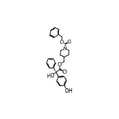 O=C(OCc1ccccc1)N1CCC(COC(=O)C(O)(c2ccccc2)c2ccc(O)cc2)CC1